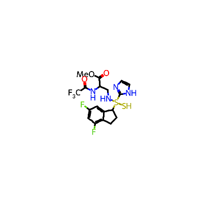 COC(=O)C(CNS(S)(c1ncc[nH]1)C1CCc2c(F)cc(F)cc21)NC(=O)C(F)(F)F